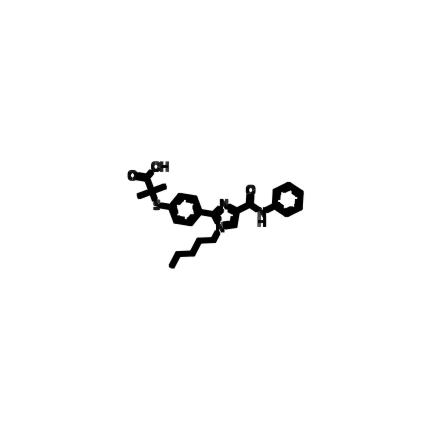 CCCCCn1cc(C(=O)Nc2ccccc2)nc1-c1ccc(SC(C)(C)C(=O)O)cc1